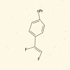 CCCc1ccc(/C(F)=C/F)cc1